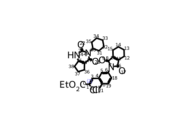 CCOC(=O)/C(Cl)=C/c1cc(N2C(=O)C3=C(CCCC3)C2=O)ccc1Cl.O=c1[nH]c2c(c(=O)n1C1CCCCC1)CCC2